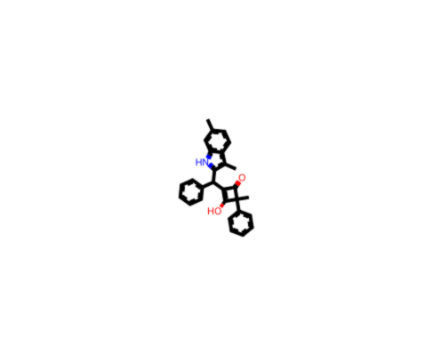 Cc1ccc2c(C)c(C(C3=C(O)C(C)(c4ccccc4)C3=O)c3ccccc3)[nH]c2c1